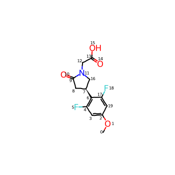 COc1cc(F)c([C@H]2CC(=O)N(CC(=O)O)C2)c(F)c1